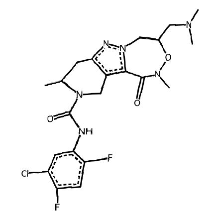 CC1Cc2nn3c(c2CN1C(=O)Nc1cc(Cl)c(F)cc1F)C(=O)N(C)OC(CN(C)C)C3